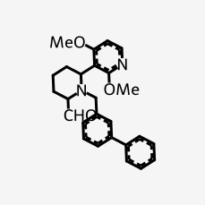 COc1ccnc(OC)c1C1CCCC(C=O)N1Cc1cccc(-c2ccccc2)c1